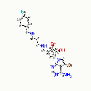 Nc1ncnc2c1c(Br)cn2[C@@H]1C[C@H](CNCCCNCc2ccc(F)cc2)[C@@H](O)[C@H]1O